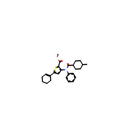 COC(=O)c1sc(C2=CCCCC2)cc1N(C(=O)C1CCC(C)CC1)c1ccccc1